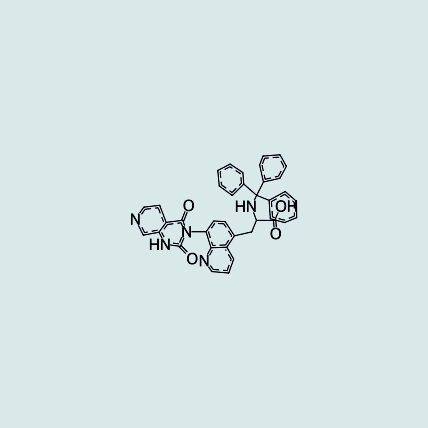 O=C(O)C(Cc1ccc(-n2c(=O)[nH]c3cnccc3c2=O)c2ncccc12)NC(c1ccccc1)(c1ccccc1)c1ccccc1